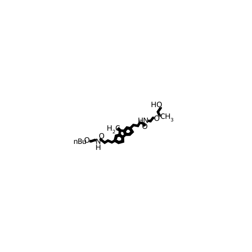 C=C1c2cc(CCCC(=O)NCCOCCCC)ccc2-c2ccc(CCCC(=O)NCCOC(C)CCO)cc21